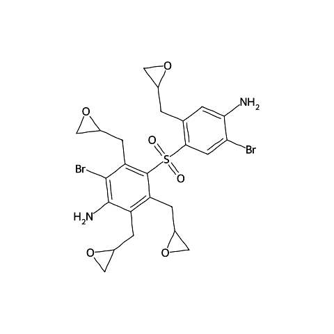 Nc1cc(CC2CO2)c(S(=O)(=O)c2c(CC3CO3)c(Br)c(N)c(CC3CO3)c2CC2CO2)cc1Br